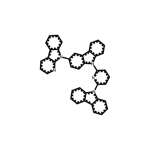 c1cc(-n2c3ccccc3c3ccccc32)nc(-n2c3ccccc3c3cc(-n4c5ccccc5c5cccnc54)ccc32)c1